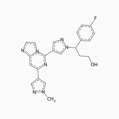 Cn1cc(-c2cc3nccn3c(-c3cnn(C(CCO)c4ccc(F)cc4)c3)n2)cn1